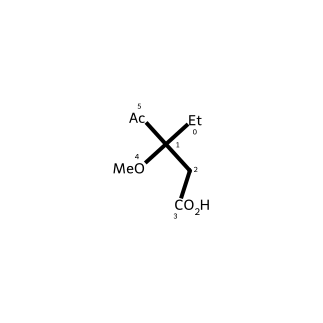 CCC(CC(=O)O)(OC)C(C)=O